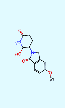 CC(C)Oc1ccc2c(c1)CN(C1CCC(=O)NC1O)C2=O